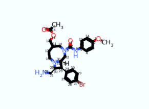 COc1ccc(NC(=O)N2CC(COC(C)=O)CCN3[C@H](CN)[C@H](c4ccc(Br)cc4)[C@@H]3C2)cc1